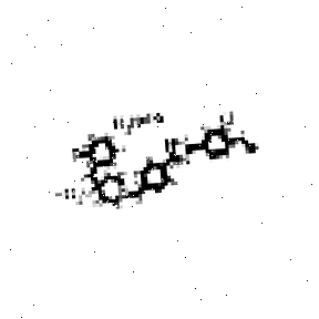 CC(C)(C)N.CC(C)Cc1ccc(-c2nc(-c3ccc(CN4CCC(Cc5ccccc5F)(C(=O)O)CC4)cc3)no2)cc1Cl